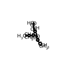 CC1(C)CC=C(c2ccc(NC(=O)C(Cc3ccc(C(=O)NCCS(=O)(=O)O)cc3)c3ccc(-c4ccc(C(C)(C)C)cc4)cc3)cc2)CC1